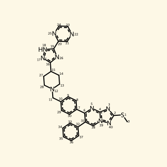 CSc1nc2nc(-c3ccc(CN4CCC(c5n[nH]c(-c6cnccn6)n5)CC4)cc3)c(-c3ccccc3)cn2n1